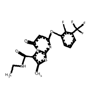 CCNC(=O)c1c(C)sc2nc(Oc3cccc(C(F)(F)F)c3F)cc(=O)n12